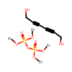 CCOP(=O)(OCC)OP(=O)(OCC)OCC.OCC#CC#CCO